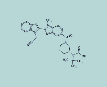 Cn1c(-c2cc3ccccc3n2CC#N)nc2cc(C(=O)N3CCC[C@@H](N(C(=O)O)C(C)(C)C)C3)ccc21